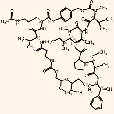 CCC(CO)OC(COC(=O)NCCC(=O)N[C@@H](C(=O)N[C@H](CCCNC(N)=O)C(=O)Nc1ccc(COC(=O)N(C)[C@H](C(=O)N[C@H](C(=O)N(C)[C@@H]([C@@H](C)CC)[C@@H](CC(=O)C2CCC[C@H]2[C@H](OC)[C@@H](C)C(=O)N[C@H](C)[C@@H](O)c2ccccc2)OC)C(C)C)C(C)C)cc1)C(C)C)OC